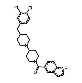 O=C(c1ccc2[nH]ccc2c1)N1CCC(N2CCC(Cc3ccc(Cl)c(Cl)c3)CC2)CC1